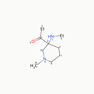 CCNC1(C(=O)CC)CCCN(C)C1